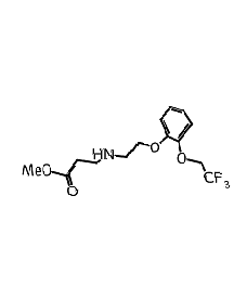 COC(=O)CCNCCOc1ccccc1OCC(F)(F)F